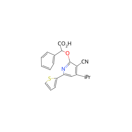 CC(C)c1cc(-c2cccs2)nc(OC(C(=O)O)c2ccccc2)c1C#N